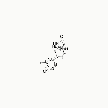 Cc1nc(N2CC[C@H]3CC(=O)N[C@H]3C2)nnc1Cl